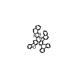 c1ccc2c(c1)ccc1nc(-c3ccc4oc5ccccc5c4c3)c(-n3c4ccc5c6ccccc6c6ccccc6c5c4c4ccc5ccccc5c43)nc12